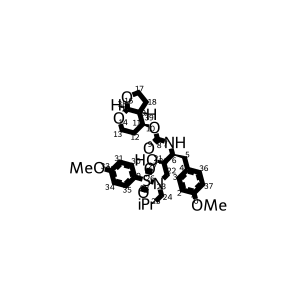 COc1ccc(C[C@H](NC(=O)O[C@H]2CCO[C@H]3OCC[C@H]32)[C@H](O)CN(CC(C)C)S(=O)(=O)c2ccc(OC)cc2)cc1